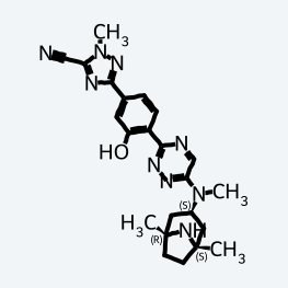 CN(c1cnc(-c2ccc(-c3nc(C#N)n(C)n3)cc2O)nn1)[C@H]1C[C@]2(C)CC[C@](C)(C1)N2